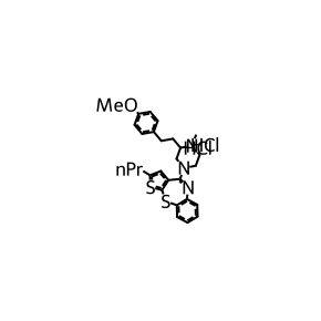 CCCc1cc2c(s1)Sc1ccccc1N=C2N1CCN(C)C(CCc2ccc(OC)cc2)C1.Cl.Cl